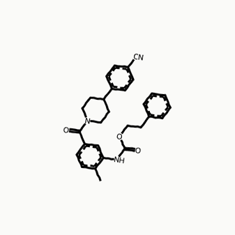 Cc1ccc(C(=O)N2CCC(c3ccc(C#N)cc3)CC2)cc1NC(=O)OCCc1ccccc1